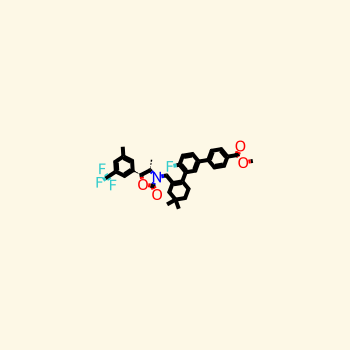 COC(=O)c1ccc(-c2ccc(F)c(C3=C(CN4C(=O)O[C@H](c5cc(C)cc(C(F)(F)F)c5)[C@@H]4C)CC(C)(C)CC3)c2)cc1